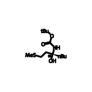 CCCC[C@](O)(CCSC)NC(=O)OC(C)(C)C